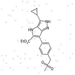 CCOC(=O)c1[nH]c2c(C3CC3)[nH]nc2c1-c1ccc(CS(C)(=O)=O)cc1